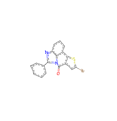 O=c1c2cc(Br)sc2c2cccc3nc(-c4ccccc4)n1c32